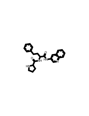 O=C(NC(CCc1ccccc1)C(=O)Nc1cnc2ccccc2c1)C1CCCN1